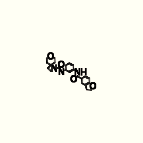 O=C(Nc1ccc2oc(N3CCC34CCOCC4)nc2c1)c1ccc2c(c1)CCO2